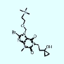 Cn1c(=O)n(CCC2(O)CC2)c(=O)c2c1nc(Br)n2COCC[Si](C)(C)C